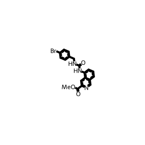 COC(=O)c1cc2c(NC(=O)NCc3ccc(Br)cc3)cccc2cn1